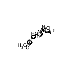 CC(=O)N1CCN(c2ccc(Nc3nccc(-c4cnc(C)n4CC4CC4)n3)cc2)CC1